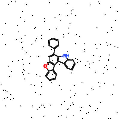 c1ccc(-c2cc3oc4ccccc4c3c3c2[nH]c2ccccc23)cc1